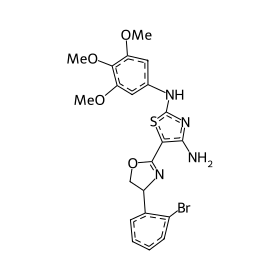 COc1cc(Nc2nc(N)c(C3=NC(c4ccccc4Br)CO3)s2)cc(OC)c1OC